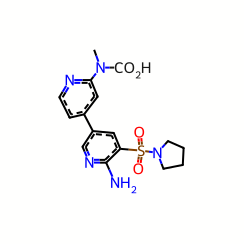 CN(C(=O)O)c1cc(-c2cnc(N)c(S(=O)(=O)N3CCCC3)c2)ccn1